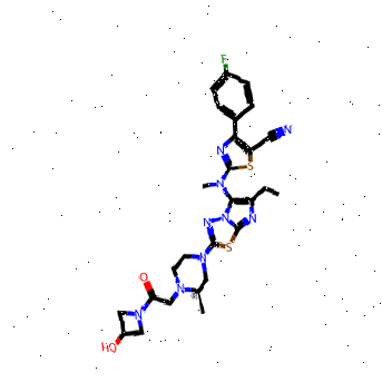 CCc1nc2sc(N3CCN(CC(=O)N4CC(O)C4)[C@H](C)C3)nn2c1N(C)c1nc(-c2ccc(F)cc2)c(C#N)s1